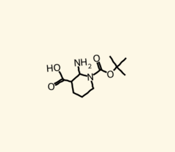 CC(C)(C)OC(=O)N1CCCC(C(=O)O)C1N